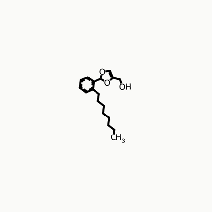 CCCCCCCCc1ccccc1C1OC=C(CO)O1